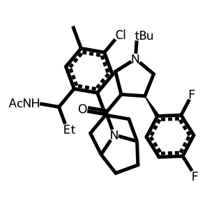 CCC(NC(C)=O)c1cc(C)c(Cl)cc1C1CC2CCC(C1)N2C(=O)C1CN(C(C)(C)C)C[C@H]1c1ccc(F)cc1F